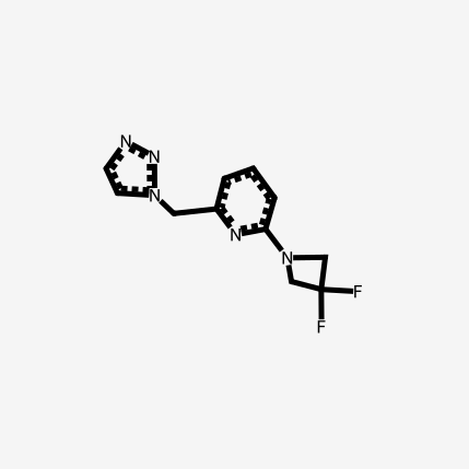 FC1(F)CN(c2cccc(Cn3ccnn3)n2)C1